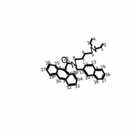 CCN(CC)CCCCN(Cc1ccc2ccccc2c1)C(=O)c1c2ccccc2cc2ccccc12